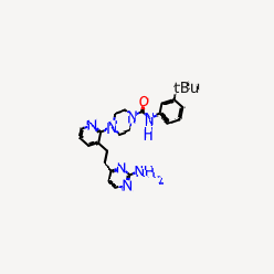 CC(C)(C)c1cccc(NC(=O)N2CCN(c3ncccc3CCc3ccnc(N)n3)CC2)c1